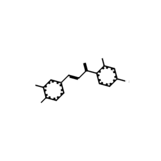 Cc1cc(C=CC(=O)c2ccc(N)cc2C)ccc1O